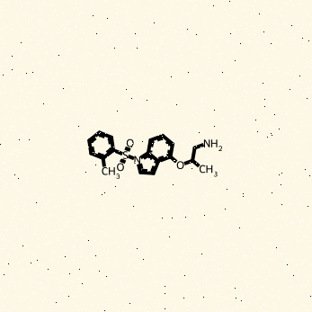 Cc1ccccc1S(=O)(=O)n1ccc2c(OC(C)CN)cccc21